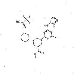 COC(=O)[C@@H]1C[C@H](C2CCCCC2)CN(c2nc(C)cc(Nc3ccn[nH]3)n2)C1.O=C(O)C(F)(F)F